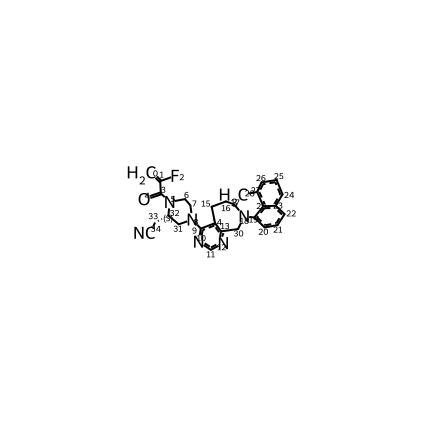 C=C(F)C(=O)N1CCN(c2ncnc3c2CCCN(c2cccc4cccc(C)c24)C3)C[C@@H]1CC#N